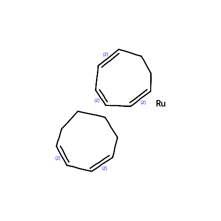 C1=C\C=C/CC\C=C/1.C1=C\CCCC\C=C/1.[Ru]